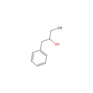 N#CCC(O)Cc1ccccc1